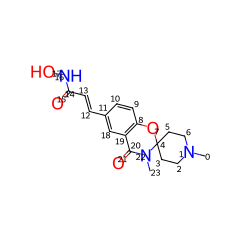 CN1CCC2(CC1)Oc1ccc(C=CC(=O)NO)cc1C(=O)N2C